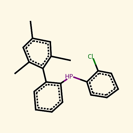 Cc1cc(C)c(-c2ccccc2Pc2ccccc2Cl)c(C)c1